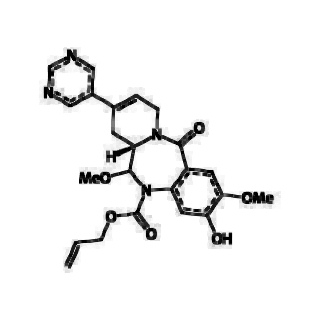 C=CCOC(=O)N1c2cc(O)c(OC)cc2C(=O)N2CC=C(c3cncnc3)C[C@H]2C1OC